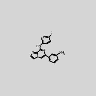 Nc1cccc(-c2cn3ccnc3c(Nc3ccc(F)cn3)n2)c1